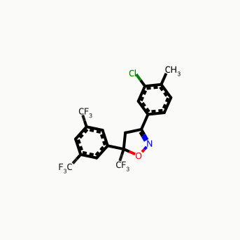 Cc1ccc(C2=NOC(c3cc(C(F)(F)F)cc(C(F)(F)F)c3)(C(F)(F)F)C2)cc1Cl